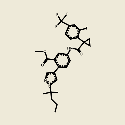 CCCC(C)(C)n1cc(-c2ccc(NC(=O)C3(c4ccc(C(F)(F)F)cc4F)CC3)cc2C(=O)OC)cn1